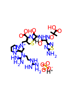 CC(C)(ON=C(C(=O)N[C@@H]1C(=O)N2C(C(=O)O)=C(C[n+]3cc(N(CCNC(=N)N)C(=N)N)c4n3CCCN4)CS[C@H]12)c1nsc(N)n1)C(=O)O.O=S(=O)([O-])[O-].[H+]